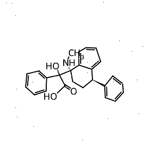 CN[C@@]1(C(O)(C(=O)O)c2ccccc2)CC[C@H](c2ccccc2)c2ccccc21